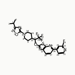 CC(C)c1noc(N2CCC(C(Oc3nc4ccc(-c5ccnc(F)c5)nc4s3)C(F)(F)F)CC2)n1